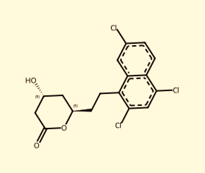 O=C1C[C@H](O)C[C@@H](CCc2c(Cl)cc(Cl)c3ccc(Cl)cc23)O1